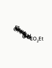 CCOC(=O)Cc1ccc(CNC(=O)c2cc(-c3ccc(-c4ccc(C(=O)CC)cc4)cc3)cs2)cc1